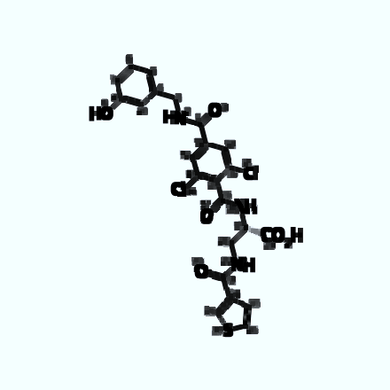 O=C(NCc1cccc(O)c1)c1cc(Cl)c(C(=O)N[C@@H](CNC(=O)c2ccsc2)C(=O)O)c(Cl)c1